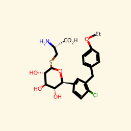 CCOc1ccc(Cc2cc([C@@H]3O[C@H](SC[C@H](N)C(=O)O)[C@@H](O)[C@H](O)[C@H]3O)ccc2Cl)cc1